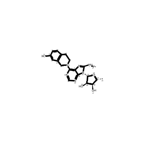 CC(C)Nc1nc2c(N3CCc4ccc(C#N)cc4C3)ncnc2n1[C@@H]1O[C@H](C)[C@@H](O)[C@H]1O